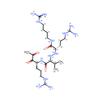 CC(=O)C(=O)[C@H](CCCNC(N)N)NC(=O)[C@@H](NN[C@@H](CCCNC(N)N)C(=O)NCCCCNC(=N)N)C(C)C